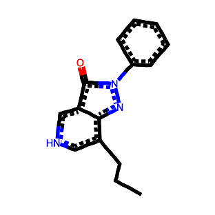 CCCc1c[nH]cc2c(=O)n(-c3ccccc3)nc1-2